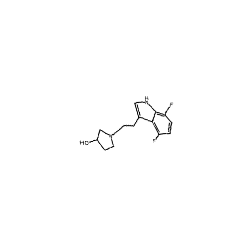 OC1CCN(CCc2c[nH]c3c(F)ccc(F)c23)C1